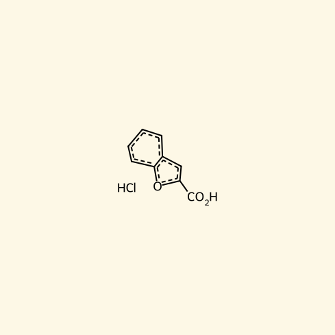 Cl.O=C(O)c1cc2ccccc2o1